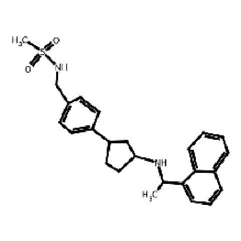 CC(NC1CCC(c2ccc(CNS(C)(=O)=O)cc2)C1)c1cccc2ccccc12